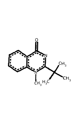 Cn1c(C(C)(C)C)nc(=O)c2ccccc21